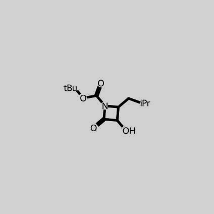 CC(C)CC1C(O)C(=O)N1C(=O)OC(C)(C)C